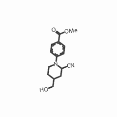 COC(=O)c1ccc(N2CCC(CO)CC2C#N)cc1